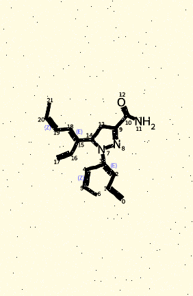 C=C/C=C(\C=C/C)N1N=C(C(N)=O)CC1/C(C=C)=C/C=C\C